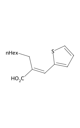 CCCCCCCC(=Cc1cccs1)C(=O)O